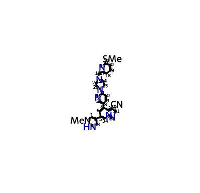 CN/C=C(\C=N)c1cc(-c2ccc(N3CCN(Cc4cccc(SC)n4)CC3)nc2)c2c(C#N)cnn2c1